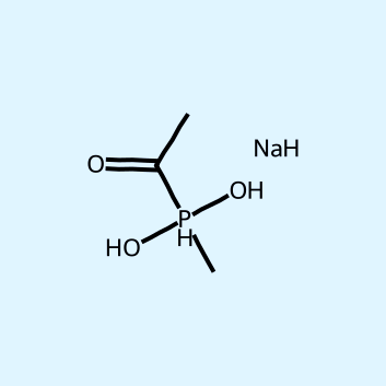 CC(=O)[PH](C)(O)O.[NaH]